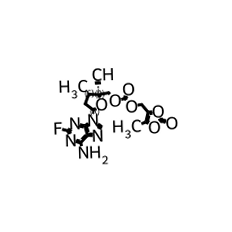 C#C[C@]1(COC(=O)OCc2oc(=O)oc2C)O[C@@H](n2cnc3c(N)nc(F)nc32)C[C@@H]1C